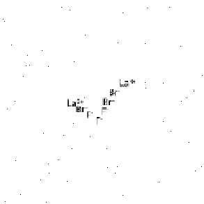 [Br-].[Br-].[Br-].[F-].[F-].[F-].[La+3].[La+3]